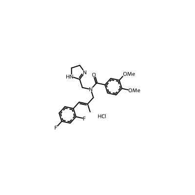 COc1ccc(C(=O)N(CC(C)=Cc2ccc(F)cc2F)CC2=NCCN2)cc1OC.Cl